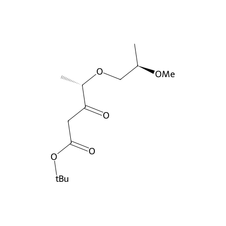 CO[C@H](C)CO[C@@H](C)C(=O)CC(=O)OC(C)(C)C